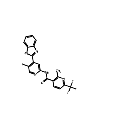 Cc1nc(C(F)(F)F)ccc1C(=O)Nc1cc(-c2nc3ccccc3[nH]2)c(I)cn1